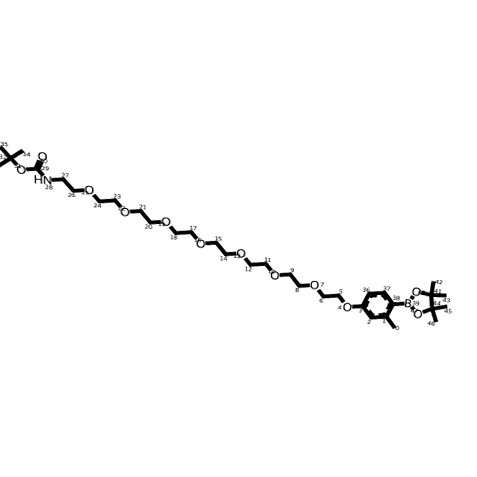 Cc1cc(OCCOCCOCCOCCOCCOCCOCCOCCNC(=O)OC(C)(C)C)ccc1B1OC(C)(C)C(C)(C)O1